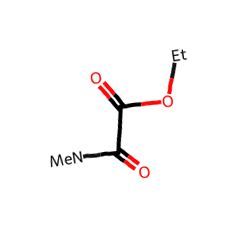 CCOC(=O)C(=O)NC